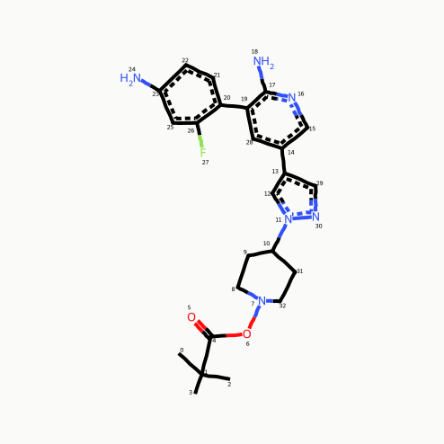 CC(C)(C)C(=O)ON1CCC(n2cc(-c3cnc(N)c(-c4ccc(N)cc4F)c3)cn2)CC1